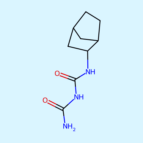 NC(=O)NC(=O)NC1CC2CCC1C2